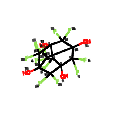 OC12C(F)(F)C3(O)C(F)(F)C(O)(C1(F)F)C(F)(F)C(O)(C2(F)F)C3(F)F